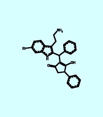 CCc1ccc2c(CCN)c(C(C3=C(O)C(c4ccccc4)CC3=O)c3ccccc3)[nH]c2c1